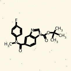 CN(C(=O)c1ccc2c(c1)ncn2C(=O)OC(C)(C)C)c1ccc(F)cc1